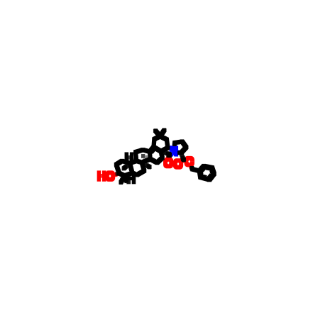 CC1(C)CC[C@]2(C(=O)N3CCC[C@H]3C(=O)OCc3ccccc3)CC[C@]3(C)C(=C2C1)CC[C@@H]1[C@@]2(C)CC[C@H](O)C(C)(C)[C@@H]2CC[C@]13C